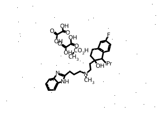 CC(=O)O.CC(C)C1c2ccc(F)cc2CCC1(O)CCN(C)CCCc1nc2ccccc2[nH]1.O=C(O)C(=O)O.O=C(O)C(=O)O